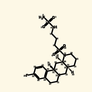 NS(=O)(=O)NCCCS(=O)(=O)N1CCC[C@H]2CN3CCc4cc(F)ccc4[C@@H]3C[C@H]21